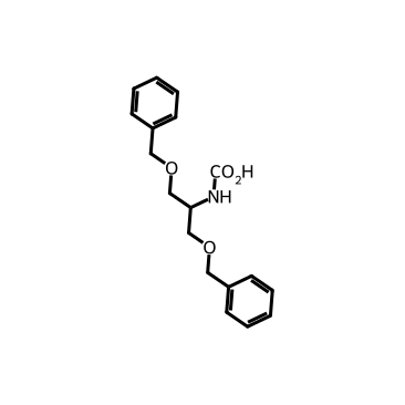 O=C(O)NC(COCc1ccccc1)COCc1ccccc1